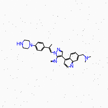 C=Nc1c(-c2ccnc3cc(CN(C)C)ccc23)cnn1/C=C(\C)c1ccc(N2CCNCC2)cc1